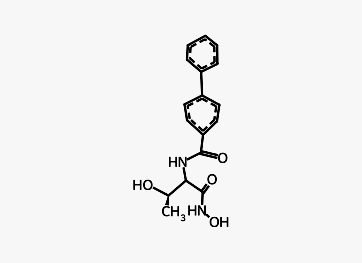 C[C@@H](O)C(NC(=O)c1ccc(-c2ccccc2)cc1)C(=O)NO